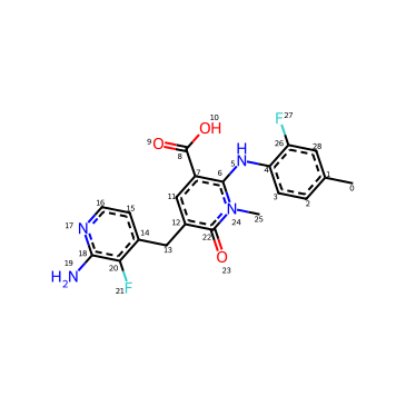 Cc1ccc(Nc2c(C(=O)O)cc(Cc3ccnc(N)c3F)c(=O)n2C)c(F)c1